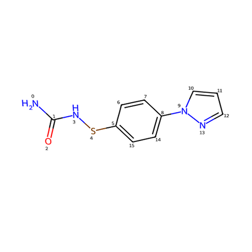 NC(=O)NSc1ccc(-n2cccn2)cc1